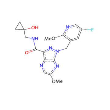 COc1cnc2c(C(=O)NCC3(O)CC3)nn(Cc3cc(F)cnc3OC)c2n1